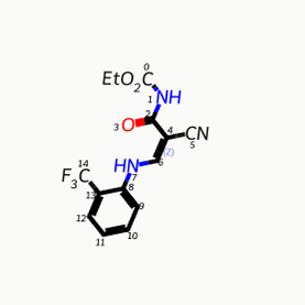 CCOC(=O)NC(=O)/C(C#N)=C\Nc1ccccc1C(F)(F)F